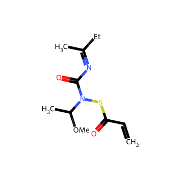 C=CC(=O)SN(C(=O)N=C(C)CC)C(C)OC